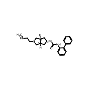 CNCCN1C[C@H]2C[C@H](OC(=O)Nc3ccccc3-c3ccccc3)C[C@H]2C1